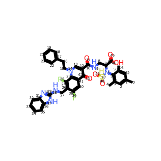 Cc1cc(C)c(N(C(CNC(=O)c2cn(CCc3ccccc3)c3c(F)c(CNc4nc5ccccc5[nH]4)c(F)cc3c2=O)C(=O)O)[SH](=O)=O)c(C)c1